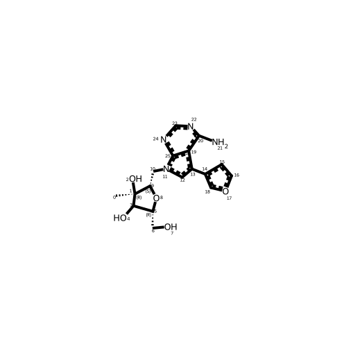 C[C@@]1(O)C(O)[C@@H](CO)O[C@H]1Cn1cc(-c2ccoc2)c2c(N)ncnc21